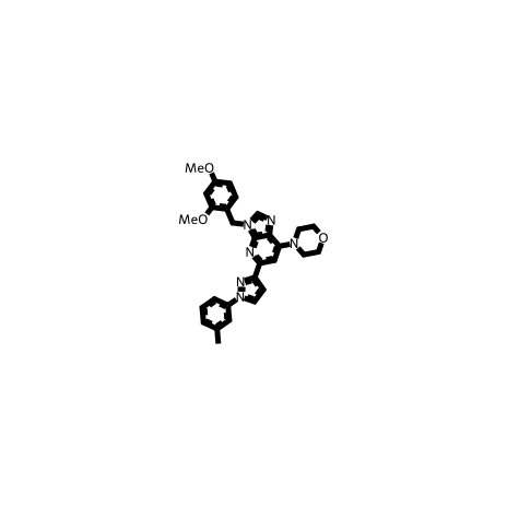 COc1ccc(Cn2cnc3c(N4CCOCC4)cc(-c4ccn(-c5cccc(C)c5)n4)nc32)c(OC)c1